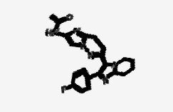 CC(=O)Nc1cn2nc(-c3c(-c4ccc(F)cc4)nc4n3CCCC4)ccc2n1